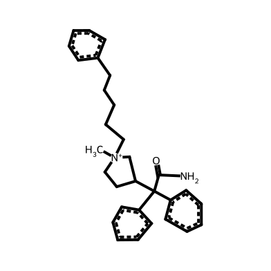 C[N+]1(CCCCCc2ccccc2)CCC(C(C(N)=O)(c2ccccc2)c2ccccc2)C1